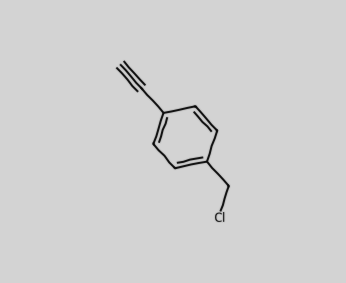 C#Cc1ccc(CCl)cc1